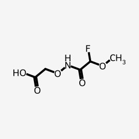 COC(F)C(=O)NOCC(=O)O